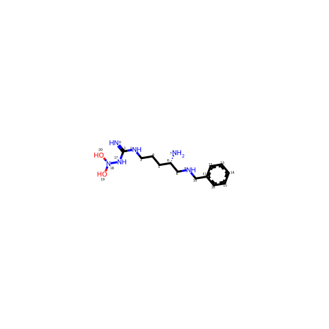 N=C(NCCC[C@H](N)CNCc1ccccc1)NN(O)O